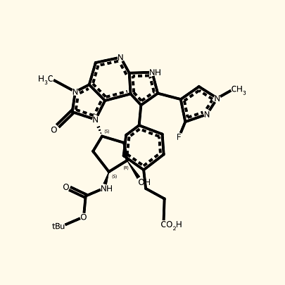 Cn1cc(-c2[nH]c3ncc4c(c3c2-c2ccc(CCC(=O)O)cc2)n([C@@H]2C[C@@H](O)[C@@H](NC(=O)OC(C)(C)C)C2)c(=O)n4C)c(F)n1